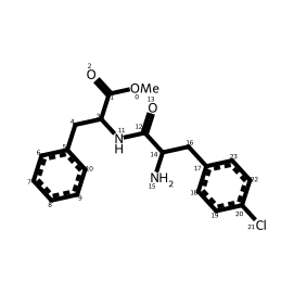 COC(=O)C(Cc1ccccc1)NC(=O)C(N)Cc1ccc(Cl)cc1